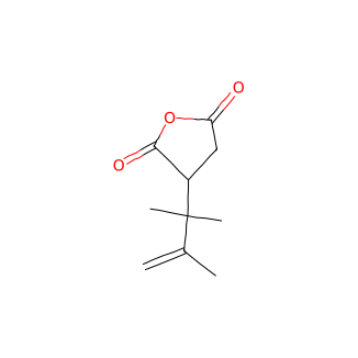 C=C(C)C(C)(C)C1CC(=O)OC1=O